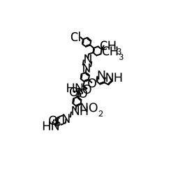 CC1(C)CCC(CN2CCN(c3ccc(C(=O)NS(=O)(=O)c4ccc(NCCN5CCS(=N)(=O)CC5)c([N+](=O)[O-])c4)c(Oc4cnc5[nH]ccc5c4)c3)CC2)=C(c2ccc(Cl)cc2)C1